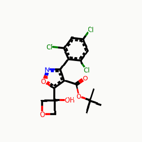 CC(C)(C)OC(=O)c1c(-c2c(Cl)cc(Cl)cc2Cl)noc1C1(O)COC1